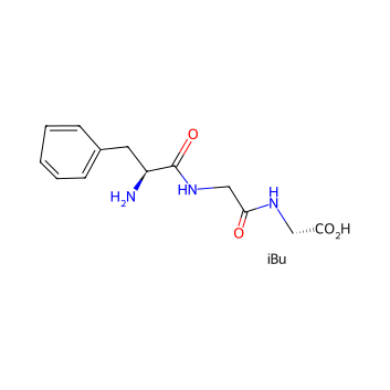 CC[C@H](C)[C@H](NC(=O)CNC(=O)[C@@H](N)Cc1ccccc1)C(=O)O